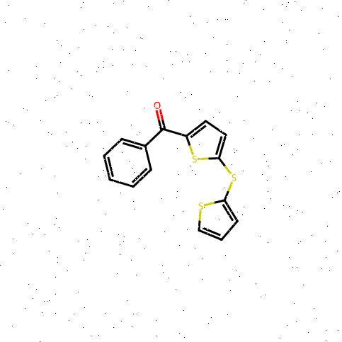 O=C(c1ccccc1)c1ccc(Sc2cccs2)s1